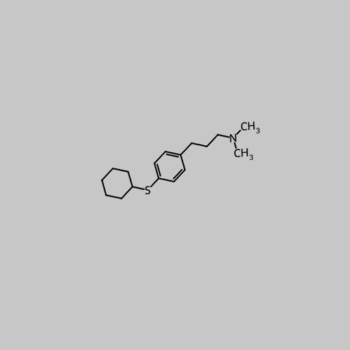 CN(C)CCCc1ccc(SC2CCCCC2)cc1